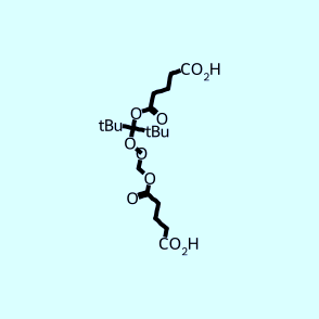 CC(C)(C)C(OOCOC(=O)CCCC(=O)O)(OC(=O)CCCC(=O)O)C(C)(C)C